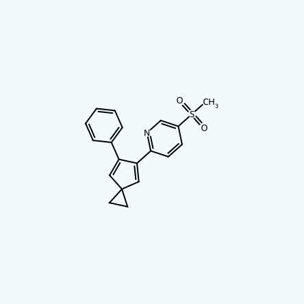 CS(=O)(=O)c1ccc(C2=CC3(C=C2c2ccccc2)CC3)nc1